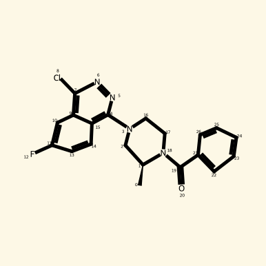 C[C@H]1CN(c2nnc(Cl)c3cc(F)ccc23)CCN1C(=O)c1ccccc1